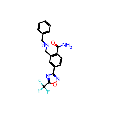 NC(=O)c1ccc(-c2noc(C(F)(F)F)n2)cc1CNCc1ccccc1